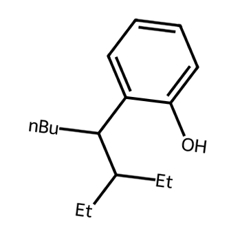 CCCCC(c1ccccc1O)C(CC)CC